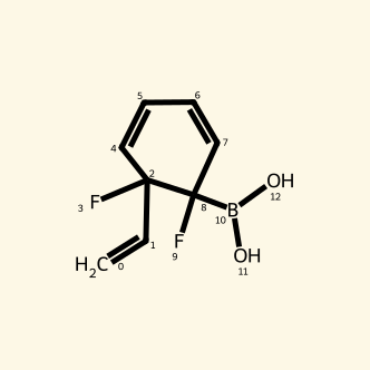 C=CC1(F)C=CC=CC1(F)B(O)O